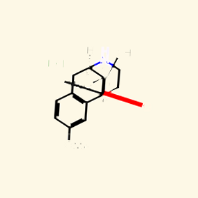 COc1ccc2c(c1)[C@]13CCN[C@H](C2)[C@]1(OC)[C@H](C)CC(=O)C3.Cl